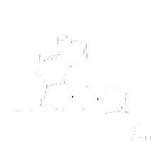 CCCCSN1CCC2(C1)CC1(C2)OB(O)c2cnc3[nH]ccc3c21